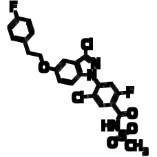 CS(=O)(=O)NC(=O)c1cc(Cl)c(-n2nc(Cl)c3cc(OCCc4ccc(F)cc4)ccc32)cc1F